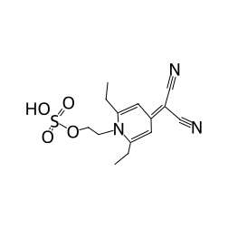 CCC1=CC(=C(C#N)C#N)C=C(CC)N1CCOS(=O)(=O)O